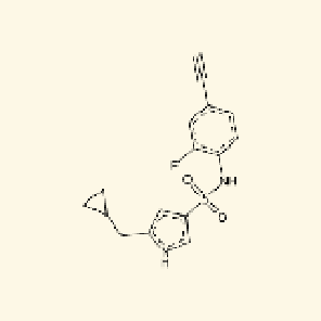 C#Cc1ccc(NS(=O)(=O)c2c[nH]c(CC3CC3)c2)c(F)c1